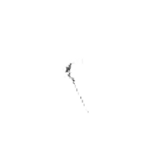 CCCCCCCC/C=C/CCCCCCCC(=O)OCC(O)COP(=O)(O)OCC(O)CO